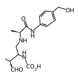 C[C@H](NCC(NC(=O)O)[C@H](C)C=O)C(=O)Nc1ccc(CO)cc1